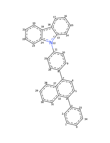 c1ccc(-c2ccc(-c3ccc(-n4c5ccccc5c5ccccc54)cc3)c3ccccc23)cc1